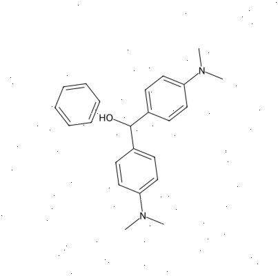 CN(C)c1ccc(C(O)c2ccc(N(C)C)cc2)cc1.c1ccccc1